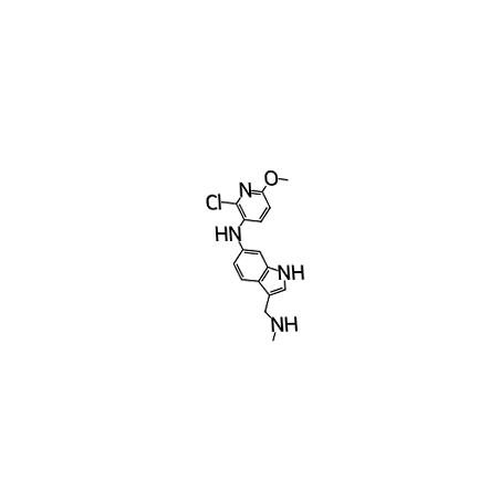 CNCc1c[nH]c2cc(Nc3ccc(OC)nc3Cl)ccc12